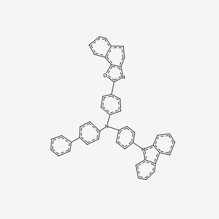 c1ccc(-c2ccc(N(c3ccc(-c4nc5ccc6ccccc6c5o4)cc3)c3ccc(-n4c5ccccc5c5ccccc54)cc3)cc2)cc1